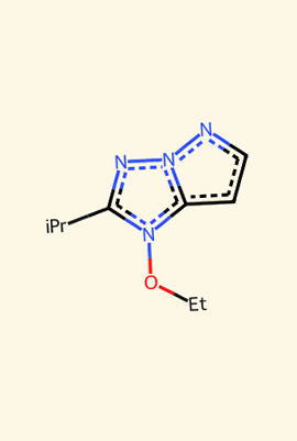 CCOn1c(C(C)C)nn2nccc12